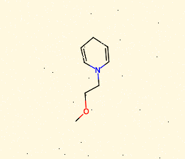 COCCN1C=CCC=C1